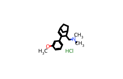 COc1cccc(C2=CC3CCC(C3)C2CN(C)C)c1.Cl